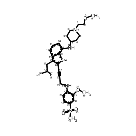 COCCN1CCC(Nc2cccc3c(CC(F)F)c(C#CCNc4ccc(S(C)(=O)=O)cc4OC)sc23)CC1